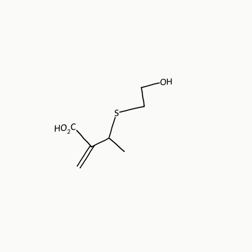 C=C(C(=O)O)C(C)SCCO